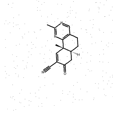 Cc1ncc2c(n1)[C@@]1(C)C=C(C#N)C(=O)C[C@@H]1CC2